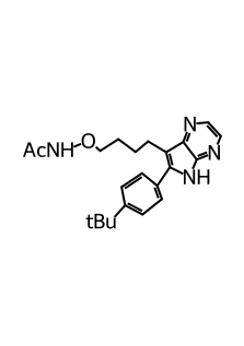 CC(=O)NOCCCCc1c(-c2ccc(C(C)(C)C)cc2)[nH]c2nccnc12